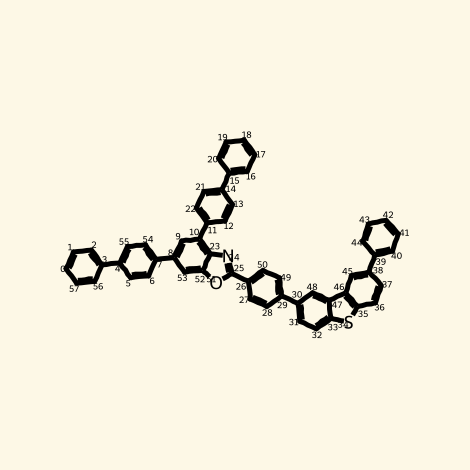 c1ccc(-c2ccc(-c3cc(-c4ccc(-c5ccccc5)cc4)c4nc(-c5ccc(-c6ccc7sc8ccc(-c9ccccc9)cc8c7c6)cc5)oc4c3)cc2)cc1